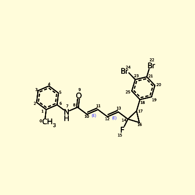 Cc1ccccc1NC(=O)/C=C/C=C/C1(F)CC1c1ccc(Br)c(Br)c1